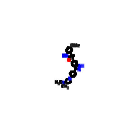 COc1ccc2c(c1)[C@]1(C[C@H]1c1ccc3c(-c4ccc(N5CC[C@H](N(C)C)C5)cc4)n[nH]c3c1)C(=O)N2